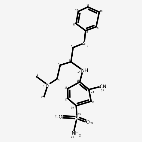 CN(C)CCC(CSc1ccccc1)Nc1ccc(S(N)(=O)=O)cc1C#N